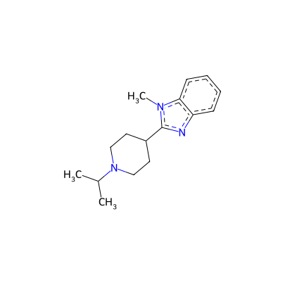 CC(C)N1CCC(c2nc3ccccc3n2C)CC1